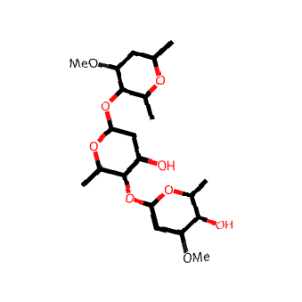 COC1CC(OC2C(O)CC(OC3C(C)OC(C)CC3OC)OC2C)OC(C)C1O